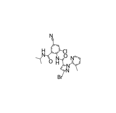 Cc1cccnc1-n1nc(Br)cc1C(=O)Nc1c(Cl)cc(C#N)cc1C(=O)NC(C)C